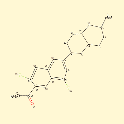 CCCCC1CCC2CC(c3cc(F)c4cc(C(=O)OC)c(F)cc4c3)CCC2C1